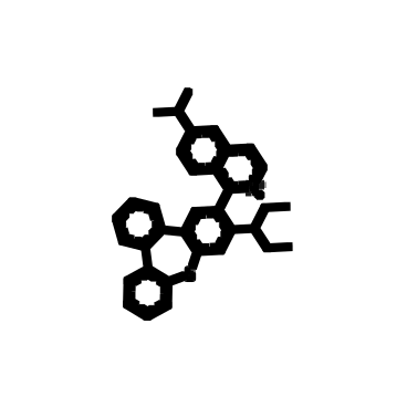 CCC(CC)c1cc2c(cc1-c1c3ccc(C(C)C)cc3cc[n+]1C)-c1ccccc1-c1ccccc1S2